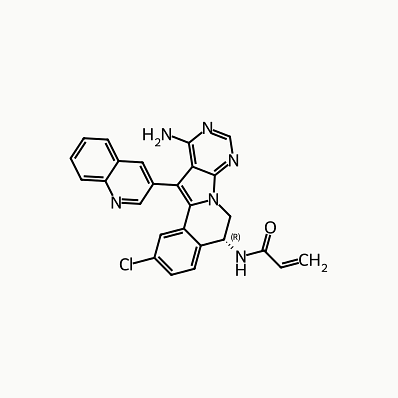 C=CC(=O)N[C@H]1Cn2c(c(-c3cnc4ccccc4c3)c3c(N)ncnc32)-c2cc(Cl)ccc21